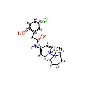 CC1(N2C=CC(NC(=O)Cc3cc(Cl)ccc3O)=CC2)CCCCC1